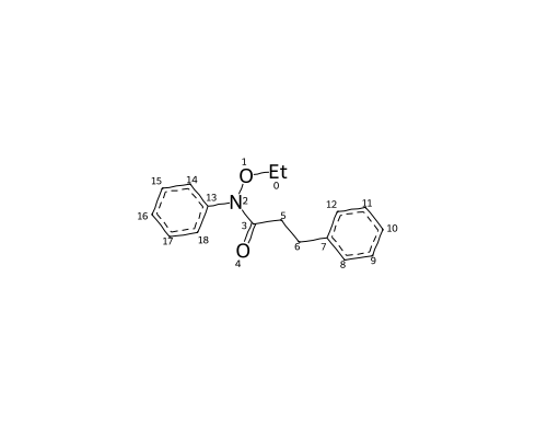 CCON(C(=O)CCc1ccccc1)c1ccccc1